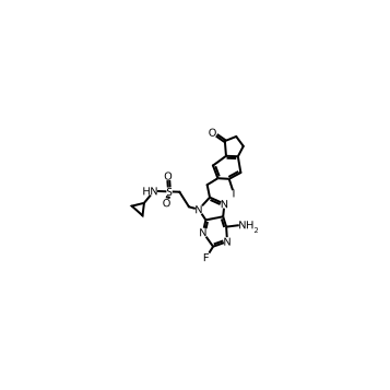 Nc1nc(F)nc2c1nc(Cc1cc3c(cc1I)CCC3=O)n2CCS(=O)(=O)NC1CC1